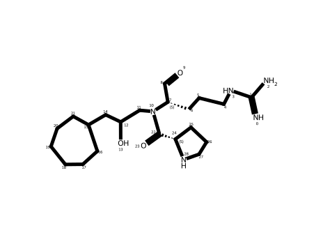 N=C(N)NCCC[C@@H](C=O)N(CC(O)CC1CCCCCC1)C(=O)[C@@H]1CCCN1